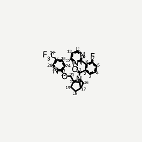 O=C(c1cccc(F)c1-c1ncccn1)N1CC2CCC1(COc1ccc(C(F)(F)F)cn1)C2